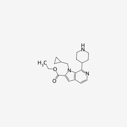 CCOC(=O)c1cc2ccnc(C3CCNCC3)c2n1CC1CC1